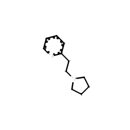 [c]1ccc(CCN2CCCC2)nc1